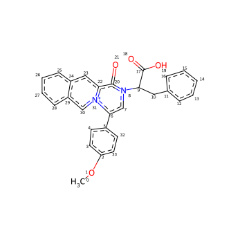 COc1ccc(-c2cn(C(Cc3ccccc3)C(=O)O)c(=O)c3cc4ccccc4c[n+]23)cc1